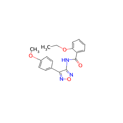 CCOc1ccccc1C(=O)Nc1nonc1-c1ccc(OC)cc1